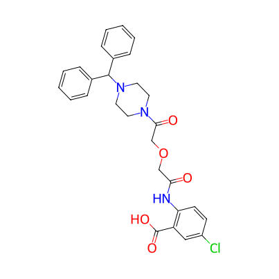 O=C(COCC(=O)N1CCN(C(c2ccccc2)c2ccccc2)CC1)Nc1ccc(Cl)cc1C(=O)O